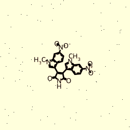 Cn1cc(C2=C(c3cn(C)c4cc([N+](=O)[O-])ccc34)C(=O)NC2=O)c2ccc([N+](=O)[O-])cc21